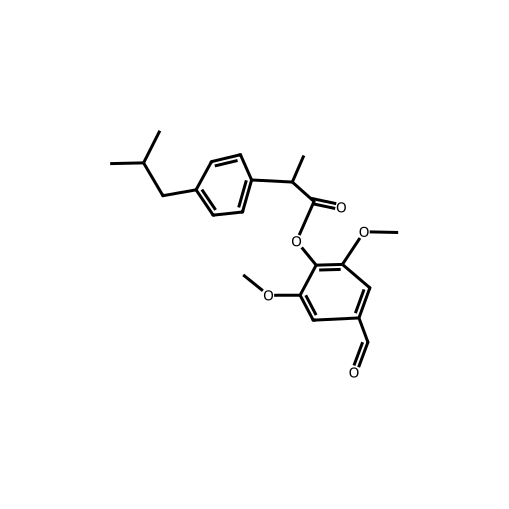 COc1cc(C=O)cc(OC)c1OC(=O)C(C)c1ccc(CC(C)C)cc1